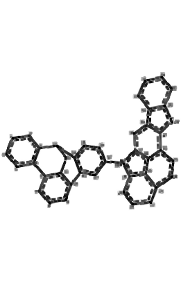 c1ccc2c(c1)-c1cccc3c1CC2c1ccc(-n2c4cccc5ccc6c7sc8ccccc8c7cc2c6c54)cc1-3